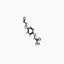 O=[C]COc1ccc(OCC(=O)O)cc1